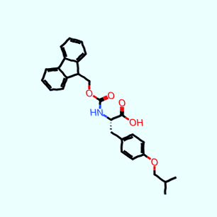 CC(C)COc1ccc(C[C@H](NC(=O)OCC2c3ccccc3-c3ccccc32)C(=O)O)cc1